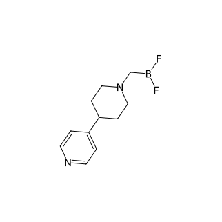 FB(F)CN1CCC(c2ccncc2)CC1